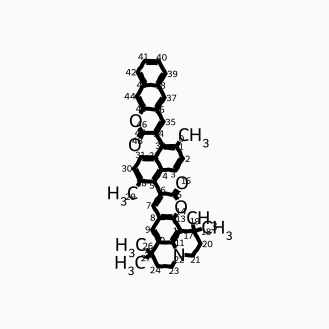 Cc1ccc2c(-c3cc4cc5c6c(c4oc3=O)C(C)(C)CCN6CCC5(C)C)c(C)ccc2c1-c1cc2cc3ccccc3cc2oc1=O